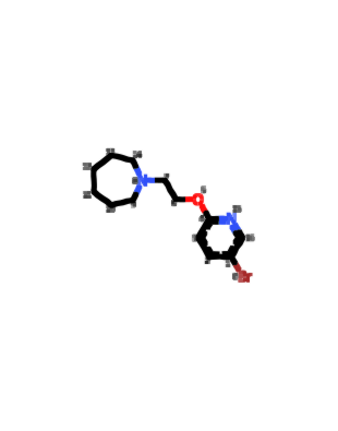 Brc1ccc(OCCN2CCCCCC2)nc1